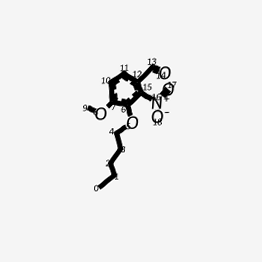 CCCCCOc1c(OC)ccc(C=O)c1[N+](=O)[O-]